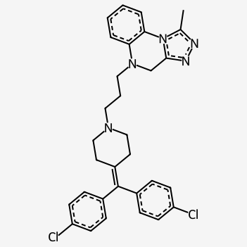 Cc1nnc2n1-c1ccccc1N(CCCN1CCC(=C(c3ccc(Cl)cc3)c3ccc(Cl)cc3)CC1)C2